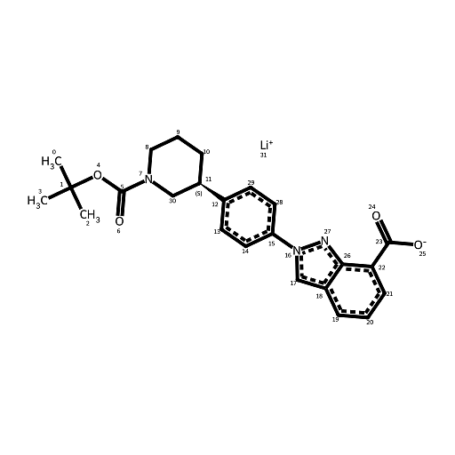 CC(C)(C)OC(=O)N1CCC[C@@H](c2ccc(-n3cc4cccc(C(=O)[O-])c4n3)cc2)C1.[Li+]